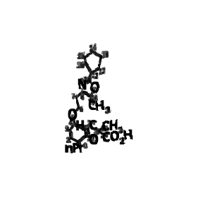 CCCc1ccc(OCCc2nc(C3CCCCC3)oc2C)cc1OC(C)(C)C(=O)O